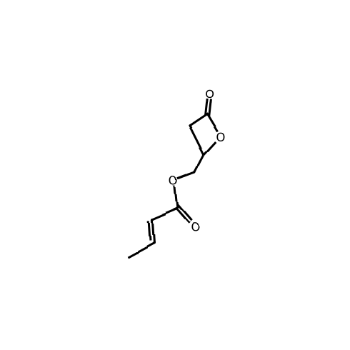 CC=CC(=O)OCC1CC(=O)O1